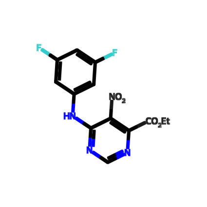 CCOC(=O)c1ncnc(Nc2cc(F)cc(F)c2)c1[N+](=O)[O-]